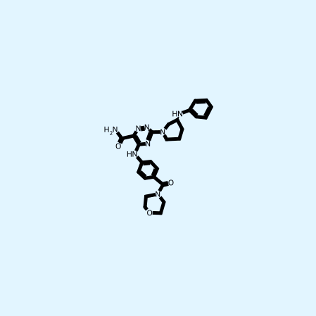 NC(=O)c1nnc(N2CCC[C@@H](Nc3ccccc3)C2)nc1Nc1ccc(C(=O)N2CCOCC2)cc1